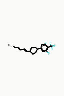 CCC=CC=CC1CCC(c2cc(F)c(C(F)(F)F)c(F)c2)CC1